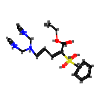 [C-]#[N+]CN(/C=C/C=C(\C(=O)OCC)S(=O)(=O)c1ccccc1)C[N+]#[C-]